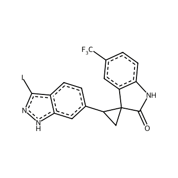 O=C1Nc2ccc(C(F)(F)F)cc2C12CC2c1ccc2c(I)n[nH]c2c1